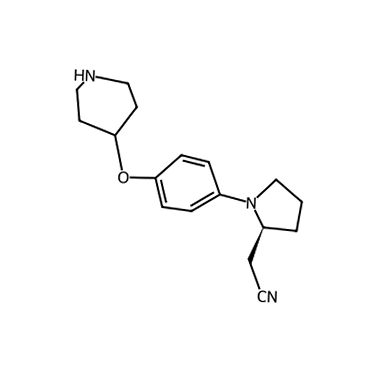 N#CC[C@@H]1CCCN1c1ccc(OC2CCNCC2)cc1